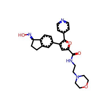 O=C(NCCN1CCOCC1)c1cc(-c2ccc3c(c2)CCC3=NO)c(-c2ccncc2)o1